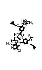 CSCC[C@H](NC(=O)c1ccc(NS(C)(=O)=O)c(OCC2CC2)c1)C(=O)O[C@@H](Cc1c(Cl)cncc1Cl)c1ccc(OC(F)F)c(OCC2CC2)c1